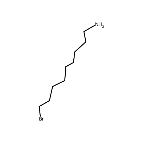 NCCCCCCCCCBr